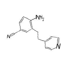 N#Cc1ccc(N)c(CCc2ccncc2)c1